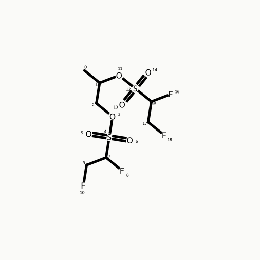 CC(COS(=O)(=O)C(F)CF)OS(=O)(=O)C(F)CF